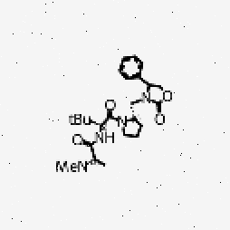 CN[C@@H](C)C(=O)N[C@H](C(=O)N1CCC[C@H]1CN1C(=O)OCC1c1ccccc1)C(C)(C)C